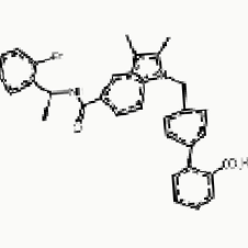 CCc1ccccc1[C@H](C)NC(=O)c1ccc2c(c1)c(C)c(C)n2Cc1ccc(-c2ccccc2C(=O)O)cc1